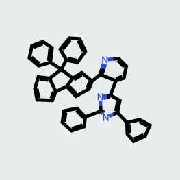 c1ccc(-c2cc(-c3cccnc3-c3ccc4c(c3)C(c3ccccc3)(c3ccccc3)c3ccccc3-4)nc(-c3ccccc3)n2)cc1